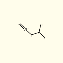 [CH2]=[Al][CH2]C(C)C